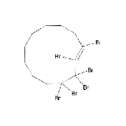 Br/C1=C(/Br)C(Br)(Br)C(Br)(Br)CCCCCCCC1